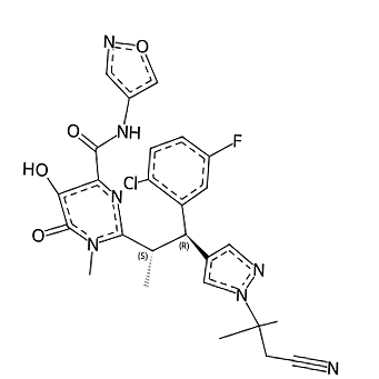 C[C@H](c1nc(C(=O)Nc2cnoc2)c(O)c(=O)n1C)[C@H](c1cnn(C(C)(C)CC#N)c1)c1cc(F)ccc1Cl